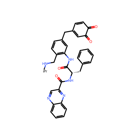 CC(C)NCc1ccc(CC2=CC(=O)C(=O)C=C2)cc1NC(=O)[C@H](Cc1ccccc1)NC(=O)c1cnc2ccccc2n1